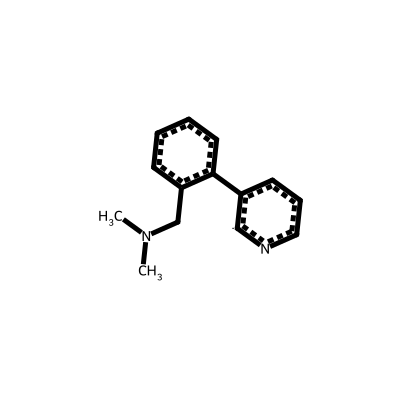 CN(C)Cc1ccccc1-c1[c]nccc1